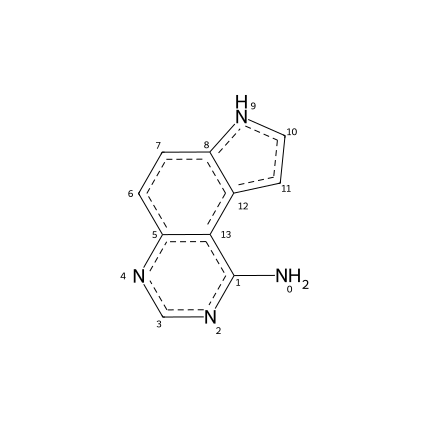 Nc1ncnc2ccc3[nH]ccc3c12